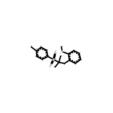 CSc1ccccc1CC(C)(C)S(=O)(=O)c1ccc(C)cc1